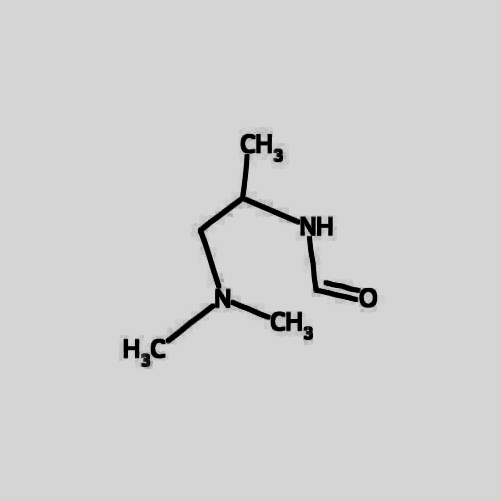 CC(CN(C)C)NC=O